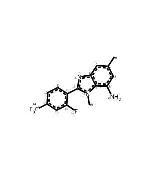 Cc1cc(N)c2c(c1)nc(-c1ccc(C(F)(F)F)cc1F)n2C